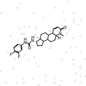 CN1C(=O)C=C[C@]2(C)C3CC[C@@]4(C)C(CC[C@@H]4NC(=O)Nc4ccc(F)c(F)c4)C3CC[C@@H]12